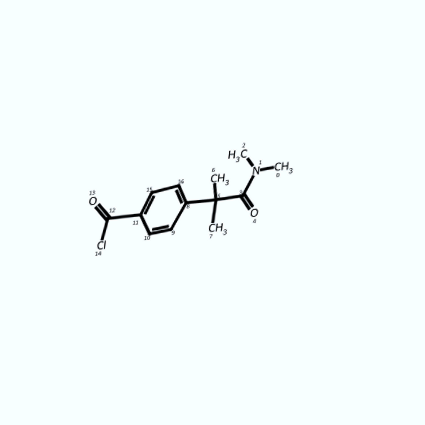 CN(C)C(=O)C(C)(C)c1ccc(C(=O)Cl)cc1